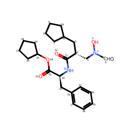 O=CN(O)C[C@@H](CC1CCCC1)C(=O)N[C@@H](Cc1ccccc1)C(=O)OC1CCCC1